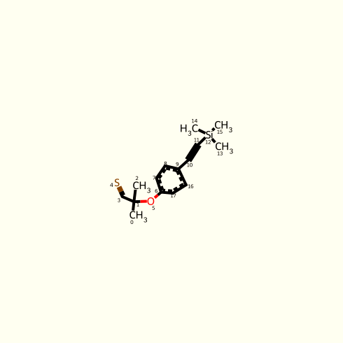 CC(C)(C=S)Oc1ccc(C#C[Si](C)(C)C)cc1